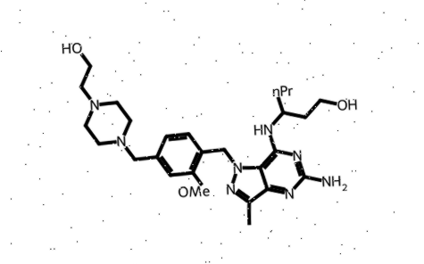 CCCC(CCO)Nc1nc(N)nc2c(C)nn(Cc3ccc(CN4CCN(CCO)CC4)cc3OC)c12